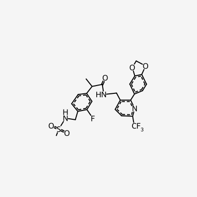 CC(C(=O)NCc1ccc(C(F)(F)F)nc1-c1ccc2c(c1)OCO2)c1ccc(CNS(C)(=O)=O)c(F)c1